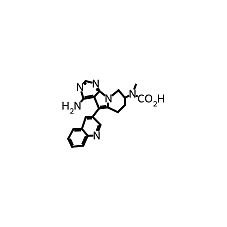 CN(C(=O)O)C1CCc2c(-c3cnc4ccccc4c3)c3c(N)ncnc3n2C1